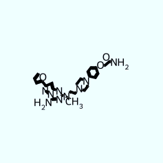 CN(CCN1CCN(c2ccc(OCC(N)=O)cc2)CC1)c1nc(N)n2nc(-c3ccco3)cc2n1